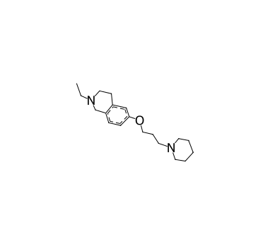 CCN1CCc2cc(OCCCN3CCCCC3)ccc2C1